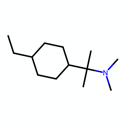 CCC1CCC(C(C)(C)N(C)C)CC1